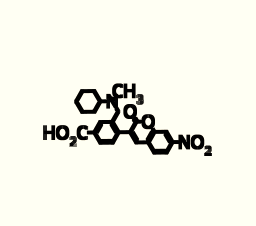 CN(Cc1cc(C(=O)O)ccc1-c1cc2ccc([N+](=O)[O-])cc2oc1=O)C1CCCCC1